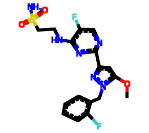 COc1cc(-c2ncc(F)c(NCCS(N)(=O)=O)n2)nn1Cc1ccccc1F